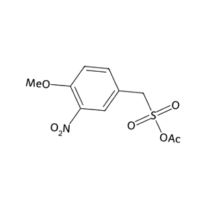 COc1ccc(CS(=O)(=O)OC(C)=O)cc1[N+](=O)[O-]